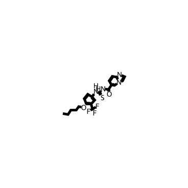 CCCCCOc1ccc(NC(=S)NC(=O)c2ccc3nccn3c2)cc1C(F)(F)F